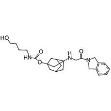 O=C(NCCCCO)OC12CC3CC(C1)C(NCC(=O)N1Cc4ccccc4C1)(C3)C2